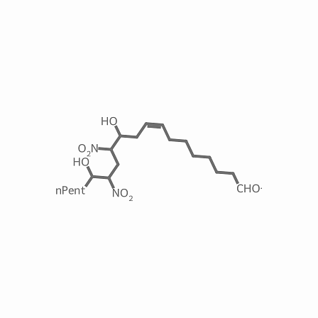 CCCCCC(O)C(CC(C(O)C/C=C\CCCCCC[C]=O)[N+](=O)[O-])[N+](=O)[O-]